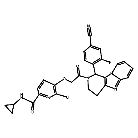 N#Cc1ccc(C2c3c(nc4ccccn34)CCN2C(=O)COc2ccc(C(=O)NC3CC3)nc2Cl)c(F)c1